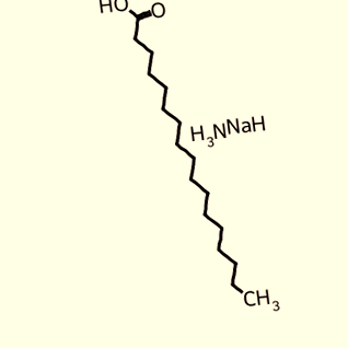 CCCCCCCCCCCCCCCCC(=O)O.N.[NaH]